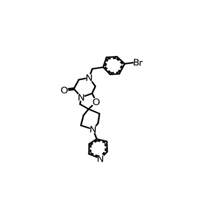 O=C1CN(Cc2ccc(Br)cc2)CC2OC3(CCN(c4ccncc4)CC3)CN12